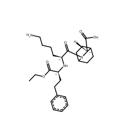 CCOC(=O)[C@H](CCc1ccccc1)N[C@@H](CCCCN)C(=O)N1C2CCC(CC2)[C@H]1C(=O)O